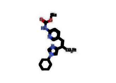 CCOC(=O)C(=Cc1ccc(NC(=O)OC(C)(C)C)nc1)c1cn(C2CCCCC2)cn1